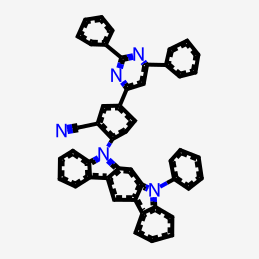 N#Cc1cc(-c2cc(-c3ccccc3)nc(-c3ccccc3)n2)ccc1-n1c2ccccc2c2cc3c4ccccc4n(-c4ccccc4)c3cc21